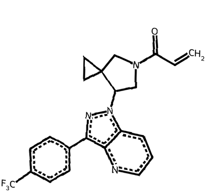 C=CC(=O)N1CC(n2nc(-c3ccc(C(F)(F)F)cc3)c3ncccc32)C2(CC2)C1